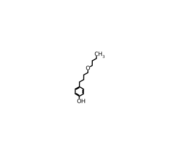 CCCCOCCCCc1ccc(O)cc1